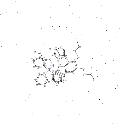 CCCCc1ccc(C(c2ccccc2)(c2ccccc2)N(CCCC)C(c2ccccc2)(c2ccccc2)c2ccccc2)c(CCCC)c1CCCC